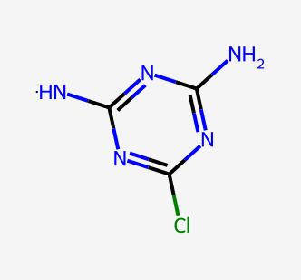 [NH]c1nc(N)nc(Cl)n1